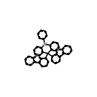 c1ccc(N2c3ccccc3C(c3cccc4c3oc3ccccc34)(c3cccc4c3oc3ccccc34)c3ccccc32)cc1